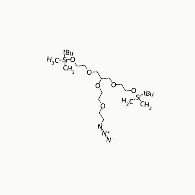 CC(C)(C)[Si](C)(C)OCCOCC(COCCO[Si](C)(C)C(C)(C)C)OCCOCCN=[N+]=[N-]